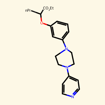 CCCC(Oc1cccc(N2CCN(c3ccncc3)CC2)c1)C(=O)OCC